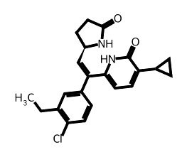 CCc1cc(/C(=C/[C@H]2CCC(=O)N2)c2ccc(C3CC3)c(=O)[nH]2)ccc1Cl